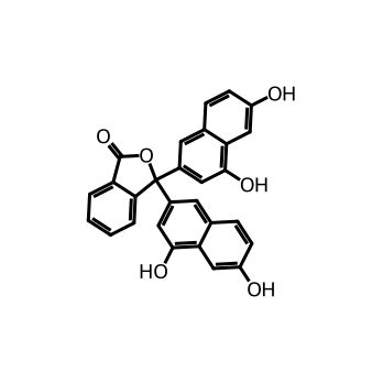 O=C1OC(c2cc(O)c3cc(O)ccc3c2)(c2cc(O)c3cc(O)ccc3c2)c2ccccc21